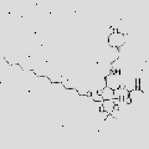 CCCCCCCCCCCCOC[C@@]12O[C@@H](CNCCN3CCOCC3)[C@@H](OC(=O)NC)[C@@H]1OC(C)(C)O2